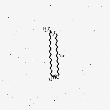 CCCCCCCCCCCCCCCCCC(=O)[O-].CCCCCCCCCCCCCCCCO.[Na+]